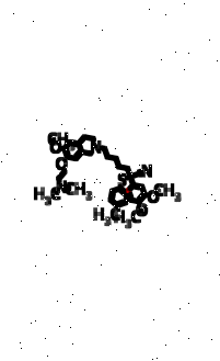 COc1ccc(C(C#N)(CCCCCN2CCc3cc(OC)c(OCCN(C)C)cc3C2)Sc2ccc(C)cc2)cc1OC